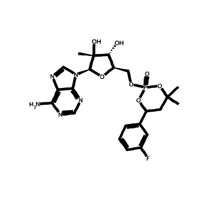 CC1(C)CC(c2cccc(F)c2)OP(=O)(OC[C@H]2O[C@@H](n3cnc4c(N)ncnc43)[C@](C)(O)[C@@H]2O)O1